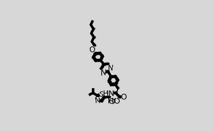 CCCCCCCOc1ccc(-c2cnc(-c3ccc(C[C@H](NC(=O)c4cnc(C(C)C)s4)C(=O)O)cc3)nc2)cc1